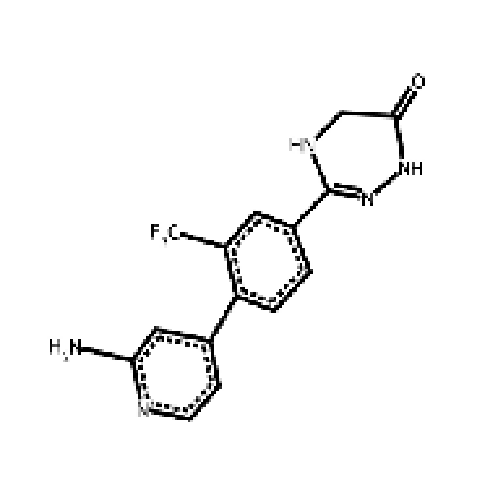 Nc1cc(-c2ccc(C3=NNC(=O)CN3)cc2C(F)(F)F)ccn1